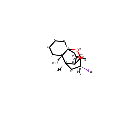 CC12O[C@]34CCCC[C@H]3[C@H](C[C@H]1I)[C@H]2C(=O)C4